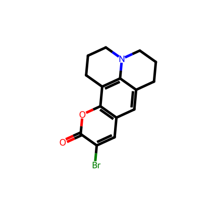 O=c1oc2c3c4c(cc2cc1Br)CCCN4CCC3